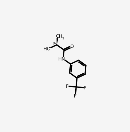 C[C@H](O)C(=O)Nc1cccc(C(F)(F)F)c1